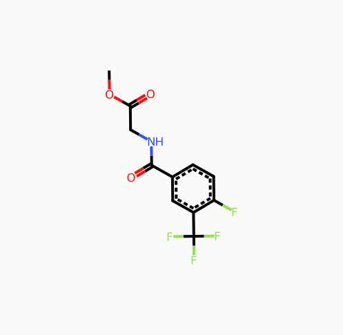 COC(=O)CNC(=O)c1ccc(F)c(C(F)(F)F)c1